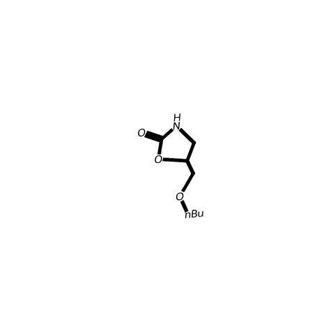 CCCCOCC1CNC(=O)O1